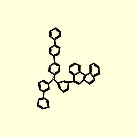 c1ccc(-c2ccc(-c3ccc(N(c4cccc(-c5ccccc5)c4)c4cccc(-c5cc6ccc7ccccc7c6c6ccccc56)c4)cc3)cc2)cc1